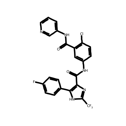 O=C(Nc1cccnc1)c1cc(NC(=O)c2nc(C(F)(F)F)[nH]c2-c2ccc(F)cc2)ccc1Cl